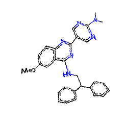 COc1ccc2nc(-c3cnc(N(C)C)nc3)nc(NCC(c3ccccc3)c3ccccc3)c2c1